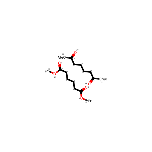 CC(C)OC(=O)CCCCC(=O)OC(C)C.COC(=O)CCCCC(=O)OC